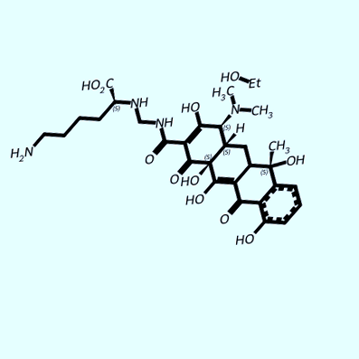 CCO.CN(C)[C@@H]1C(O)=C(C(=O)NCN[C@@H](CCCCN)C(=O)O)C(=O)[C@@]2(O)C(O)=C3C(=O)c4c(O)cccc4[C@@](C)(O)C3C[C@@H]12